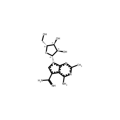 Cc1nc(N)c2c(C(=N)N)cn([C@@H]3O[C@H](CO)[C@@H](O)[C@H]3O)c2n1